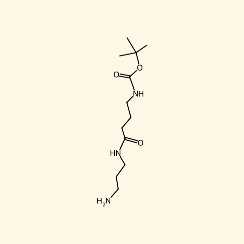 CC(C)(C)OC(=O)NCCCC(=O)NCCCN